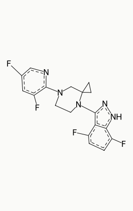 Fc1cnc(N2CCN(c3n[nH]c4c(F)ccc(F)c34)C3(CC3)C2)c(F)c1